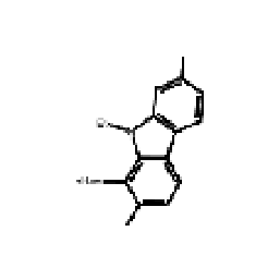 CCCCCCc1c(I)ccc2c3ccc(I)cc3n(CC)c12